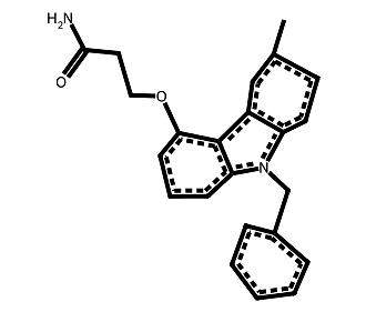 Cc1ccc2c(c1)c1c(OCCC(N)=O)cccc1n2Cc1ccccc1